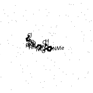 CNc1ccc2c(=O)n(-c3ccc(NC(=O)NS(=O)(=O)c4ccc(Cl)s4)nn3)c(=O)[nH]c2c1